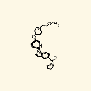 COCCN1CCC(Oc2ccc(-n3ccc4cc(C(=O)N5CCCC5)ccc43)nc2)CC1